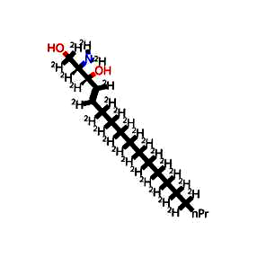 [2H]/C(=C(/[2H])[C@@]([2H])(O)[C@@]([2H])(N([2H])[2H])C([2H])([2H])O)C([2H])([2H])C([2H])([2H])C([2H])([2H])C([2H])([2H])C([2H])([2H])C([2H])([2H])C([2H])([2H])C([2H])([2H])C([2H])([2H])C([2H])([2H])CCC